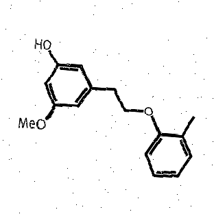 COc1cc(O)cc(CCOc2ccccc2C)c1